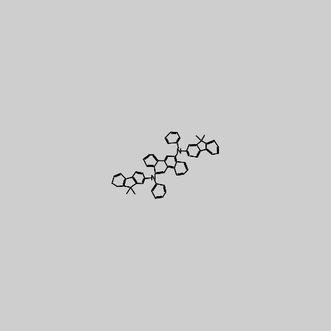 CC1(C)C2=C(C=CCC2)c2ccc(N(c3ccccc3)c3cc4c5ccccc5c(N(c5ccccc5)c5ccc6c(c5)C(C)(C)c5ccccc5-6)cc4c4ccccc34)cc21